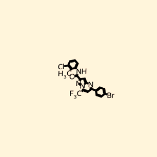 Cc1c(Cl)cccc1NC(=O)c1cc2nc(-c3ccc(Br)cc3)cc(C(F)(F)F)n2n1